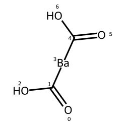 O=[C](O)[Ba][C](=O)O